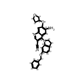 N#Cc1cnc2cc(OC3CCOC3)c(N)cc2c1N1CCc2ccc(OCc3ccccc3)cc21